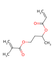 C=CC(=O)OC(C)CCOC(=O)C(=C)C